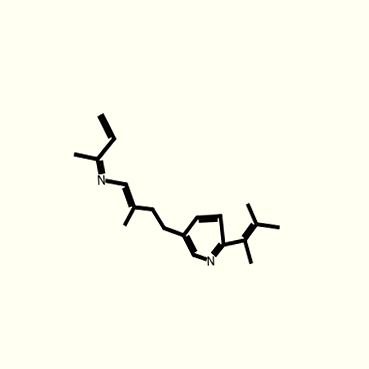 C=C/C(C)=N\C=C(/C)CCc1ccc(C(C)=C(C)C)nc1